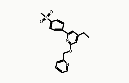 CCc1cc(OCc2ccccn2)nc(-c2ccc(S(C)(=O)=O)cc2)c1